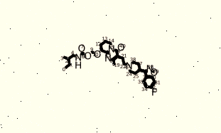 CCC(C)CNC(=O)OCOC1CCCn2c1nc(C)c(CCN1CCC(c3noc4cc(F)ccc34)CC1)c2=O